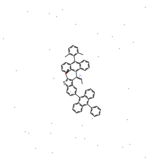 C=Cc1sc2ccc(-c3c4ccccc4c(-c4ccccc4)c4ccccc34)cc2c1/C(=C\C)c1c2ccccc2c(-c2c(C)cccc2C)c2ccccc12